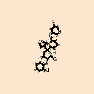 O=C1CC(c2ccsc2)(c2cccc(Oc3cncc(F)c3)n2)NC(=O)C1Sc1ccccc1Cl